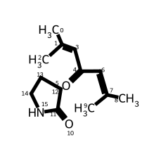 CC(C)=CC(=O)C=C(C)C.O=C1CCCN1